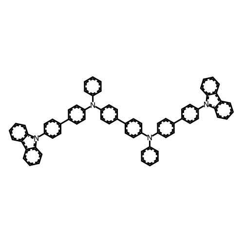 c1ccc(N(c2ccc(-c3ccc(N(c4ccccc4)c4ccc(-c5ccc(-n6c7ccccc7c7ccccc76)cc5)cc4)cc3)cc2)c2ccc(-c3ccc(-n4c5ccccc5c5ccccc54)cc3)cc2)cc1